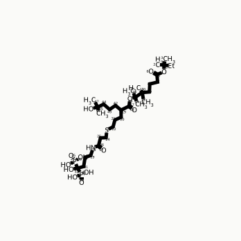 CCC(C)(C)OC(=O)CCCC(C)(C)C(C)(C)OC(=O)C(CCCSCCC(=O)NCCCC(O)(P(=O)(O)O)P(=O)(O)O)CCCC(C)(C)O